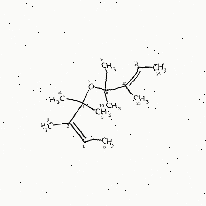 CC=C(C)C(C)(C)OC(C)(C)C(C)=CC